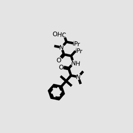 CC(C)C(NC(=O)C(N(C)C)C(C)(C)c1ccccc1)C(=O)N(C)C(C=O)C(C)C